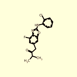 CC(C)C(=O)Cc1cc(F)c2nc(Nc3ccccc3Cl)oc2c1